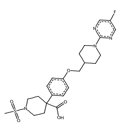 CS(=O)(=O)N1CCC(C(=O)O)(c2ccc(OCC3CCN(c4ncc(F)cn4)CC3)cc2)CC1